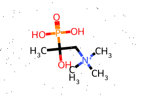 CC(O)(C[N+](C)(C)C)P(=O)(O)O